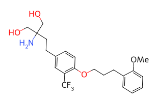 COc1ccccc1CCCOc1ccc(CCC(N)(CO)CO)cc1C(F)(F)F